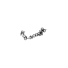 O=[N+]([O-])c1cn2c(n1)O[C@@H](COc1ccc(N3CCC(Cc4cc5cc(C(F)(F)F)ccc5o4)CC3)cc1)CC2